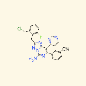 N#Cc1cccc(-c2nc(N)n3nc(Cc4c(F)cccc4CCl)nc3c2-c2ccncn2)c1